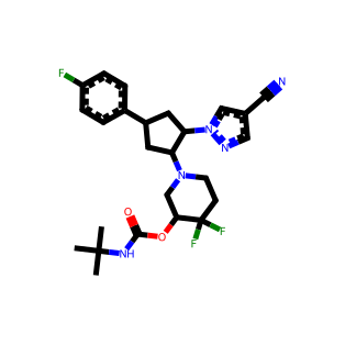 CC(C)(C)NC(=O)OC1CN(C2CC(c3ccc(F)cc3)CC2n2cc(C#N)cn2)CCC1(F)F